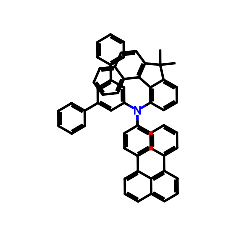 CC1(C)c2cccc(N(c3ccc(-c4cccc5cccc(-c6ccccc6)c45)cc3)c3cc(-c4ccccc4)cc(-c4ccccc4)c3)c2-c2c1ccc1ccccc21